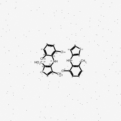 Cc1cccc(Cl)c1Nc1ccsc1.Cc1csc(C(=O)O)c1Nc1c(Cl)cccc1Cl